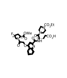 CCOC(=O)N1CCN(C(=O)[C@H](CCC(=O)O)NC(=O)c2cc(OCC(=O)N3C[C@H](F)C[C@H]3C(=O)OC)c3ccccc3n2)CC1